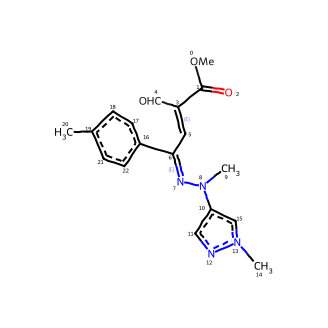 COC(=O)/C(C=O)=C/C(=N\N(C)c1cnn(C)c1)c1ccc(C)cc1